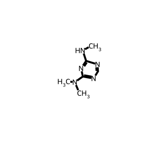 CNc1ncnc(N(C)C)n1